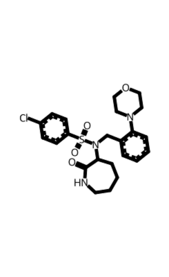 O=C1NCCCCC1N(Cc1ccccc1N1CCOCC1)S(=O)(=O)c1ccc(Cl)cc1